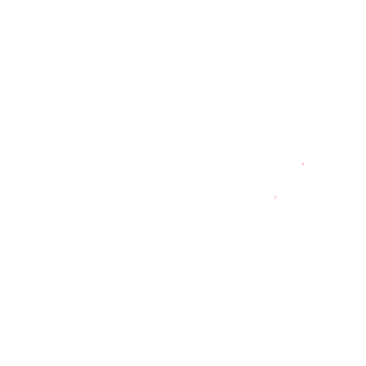 CCOCCCCCCC(OCC)OP(=O)(O)O